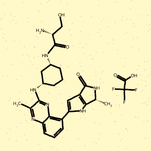 Cc1nc2cccc(-c3cc4c([nH]3)[C@@H](C)NC4=O)c2nc1N[C@H]1CCC[C@@H](NC(=O)[C@H](N)CO)C1.O=C(O)C(F)(F)F